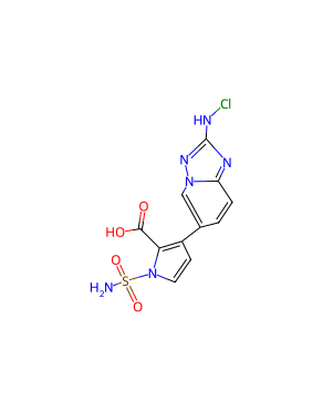 NS(=O)(=O)n1ccc(-c2ccc3nc(NCl)nn3c2)c1C(=O)O